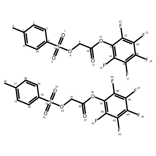 Cc1ccc(S(=O)(=O)OCC(=O)Oc2c(F)c(F)c(F)c(F)c2F)cc1.Cc1ccc(S(=O)(=O)OCC(=O)Oc2c(F)c(F)c(F)c(F)c2F)cc1